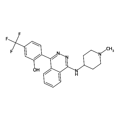 CN1CCC(Nc2nnc(-c3ccc(C(F)(F)F)cc3O)c3ccccc23)CC1